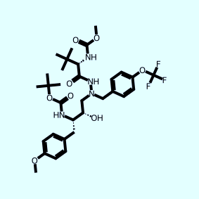 COC(=O)N[C@H](C(=O)NN(Cc1ccc(OC(F)(F)F)cc1)C[C@H](O)[C@H](Cc1ccc(OC)cc1)NC(=O)OC(C)(C)C)C(C)(C)C